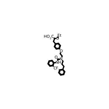 CCOC(Cc1ccc(OCCN(CCCc2ccccc2)C(=O)Nc2ccccc2C(F)(F)F)cc1)C(=O)O